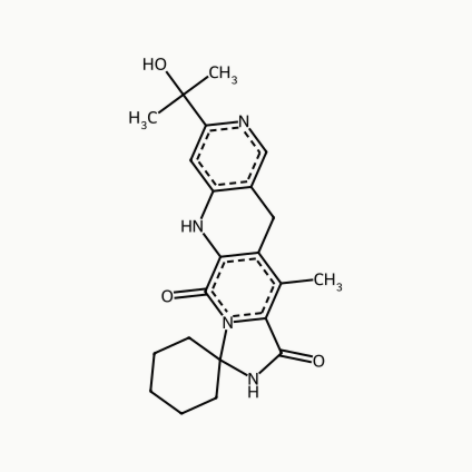 Cc1c2c(c(=O)n3c1C(=O)NC31CCCCC1)Nc1cc(C(C)(C)O)ncc1C2